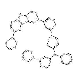 c1ccc(-c2cccc(N(c3ccccc3)c3ccc(-c4cccc(-c5ccc6oc7ccc(-c8ccccc8)cc7c6c5)c4)cc3)c2)cc1